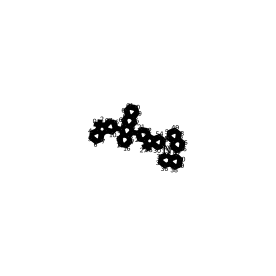 CC1(C)c2ccccc2-c2cc(-c3c4ccccc4c(-c4ccc5c(c4)C(C)(C)c4cc(N(c6cccc7ccccc67)c6cccc7ccccc67)ccc4-5)c4cc5ccccc5cc34)ccc21